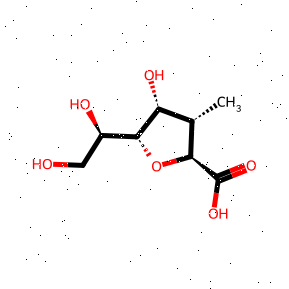 C[C@H]1[C@@H](O)[C@@H]([C@H](O)CO)O[C@@H]1C(=O)O